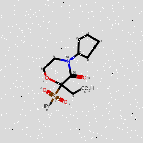 CC(C)S(=O)(=O)C1(CC(=O)O)OCCN(C2CCCC2)C1=O